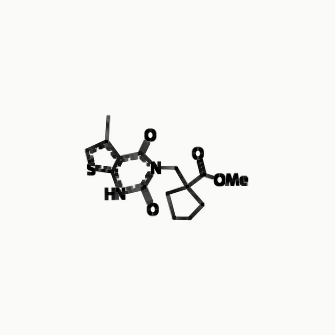 COC(=O)C1(Cn2c(=O)[nH]c3scc(C)c3c2=O)CCCC1